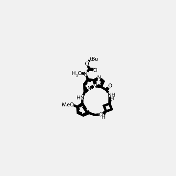 COc1ccc2cc1Nc1cc(N(C)C(=O)OC(C)(C)C)c3ncc(n3n1)C(=O)N[C@H]1C[C@H](C1)OC2